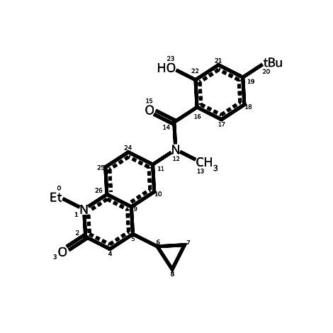 CCn1c(=O)cc(C2CC2)c2cc(N(C)C(=O)c3ccc(C(C)(C)C)cc3O)ccc21